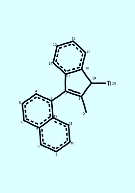 CC1=C(c2cccc3ccccc23)c2ccccc2[CH]1[Ti]